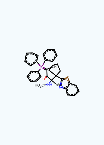 CCCCC(NC(=O)O)(C(=O)C(C#N)=P(c1ccccc1)(c1ccccc1)c1ccccc1)C1(c2nc3ccccc3s2)CCCC1